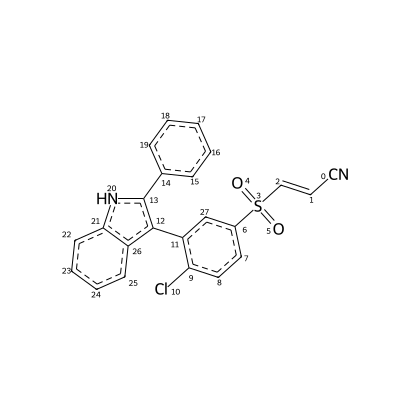 N#CC=CS(=O)(=O)c1ccc(Cl)c(-c2c(-c3ccccc3)[nH]c3ccccc23)c1